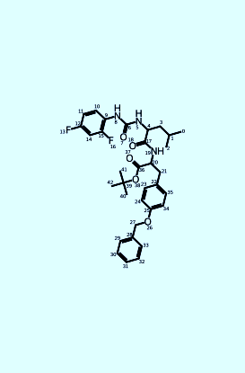 CC(C)CC(NC(=O)Nc1ccc(F)cc1F)C(=O)NC(Cc1ccc(OCc2ccccc2)cc1)C(=O)OC(C)(C)C